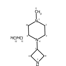 CN1CCN(C2CNC2)CC1.Cl.Cl